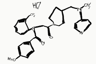 COc1ccc(C(=O)N(CC(=O)N2CCC(CN(C)c3ccncc3)CC2)c2ccccc2C(F)(F)F)cc1.Cl